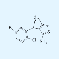 Nc1scc2c1C(c1cc(F)ccc1Cl)NC2